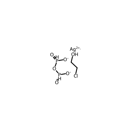 O=[PH]([O-])O[PH](=O)[O-].OCCCl.[Ag+2]